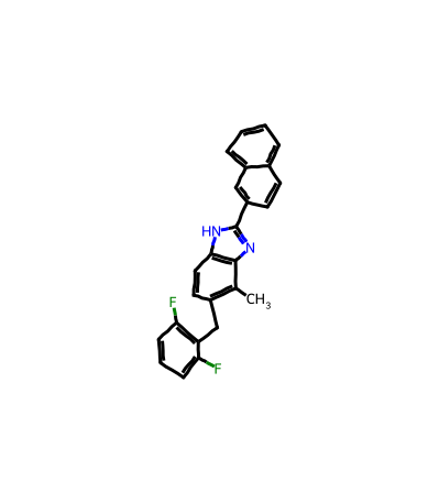 Cc1c(Cc2c(F)cccc2F)ccc2[nH]c(-c3ccc4ccccc4c3)nc12